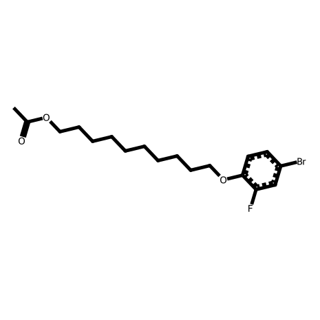 CC(=O)OCCCCCCCCCCOc1ccc(Br)cc1F